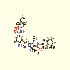 COC(=O)[C@@H](Cc1ccccc1)NC(=O)c1ccc2c(c1)C(=Cc1[nH]c(C)c(C(=O)N[C@H](Cc3ccccc3)C(=O)OC)c1C)C(=O)N2